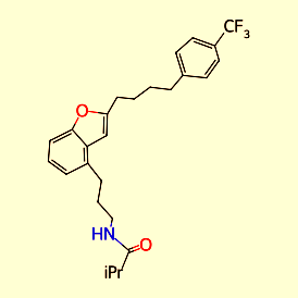 CC(C)C(=O)NCCCc1cccc2oc(CCCCc3ccc(C(F)(F)F)cc3)cc12